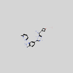 Cc1cccc(-n2ncc3ccc(-c4cncc([C@@H](N)C5CC(O)C5)n4)cc32)n1